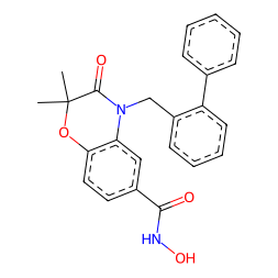 CC1(C)Oc2ccc(C(=O)NO)cc2N(Cc2ccccc2-c2ccccc2)C1=O